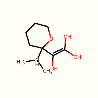 C[SiH](C)C1(C(O)=C(O)O)CCCCO1